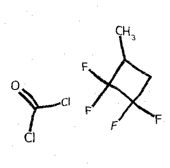 CC1CC(F)(F)C1(F)F.O=C(Cl)Cl